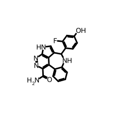 NC(=O)c1nnc2[nH]cc3c2c1-c1ccccc1NC3c1ccc(O)cc1F